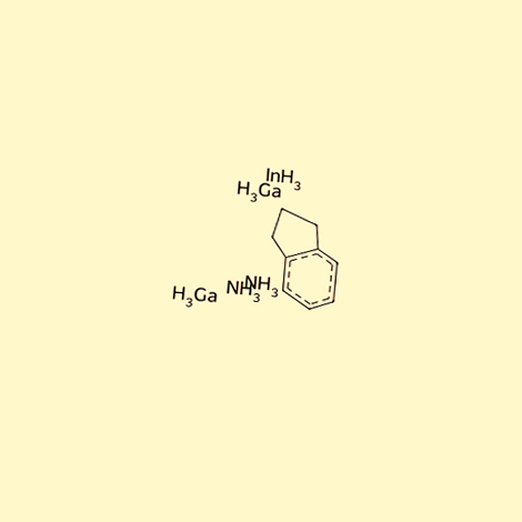 N.N.[GaH3].[GaH3].[InH3].c1ccc2c(c1)CCC2